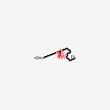 CC/C=C\C/C=C\C/C=C\C/C=C\C/C=C\C/C=C\CCC(=O)O[C@H](COCCCCCCCCCCCCCCCCCCCC)COP(=O)(O)O